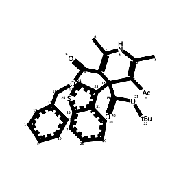 CC(=O)C1=C(C)NC(C)=C(C(=O)OCc2ccccc2)C1(C(=O)OC(C)(C)C)c1csc2ccccc12